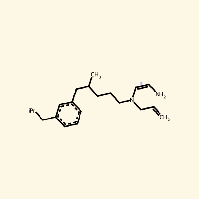 C=CCN(/C=C\N)CCCC(C)Cc1cccc(CC(C)C)c1